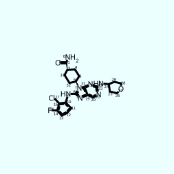 NC(=O)[C@H]1CC[C@@H](n2c(Nc3cccc(F)c3Cl)nc3cnc(NC4CCOCC4)nc32)CC1